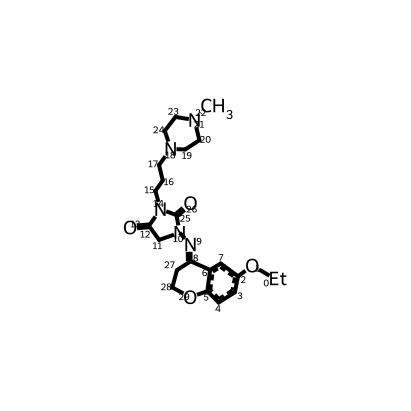 CCOc1ccc2c(c1)/C(=N/N1CC(=O)N(CCCN3CCN(C)CC3)C1=O)CCO2